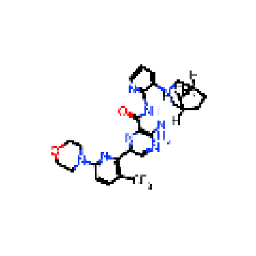 C[C@@H]1[C@@H]2CC[C@H]1CN(c1cccnc1NC(=O)c1nc(-c3nc(N4CCOCC4)ccc3C(F)(F)F)cnc1N)C2